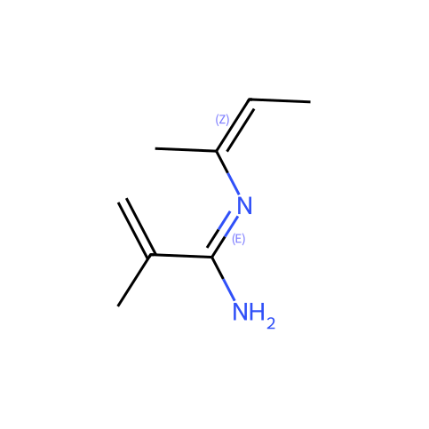 C=C(C)/C(N)=N\C(C)=C/C